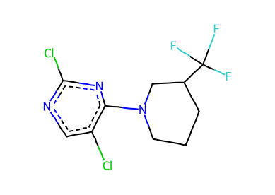 FC(F)(F)C1CCCN(c2nc(Cl)ncc2Cl)C1